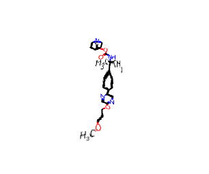 COCCCOc1cnc(-c2ccc(C(C)(C)NC(=O)OC3CN4CCC3CC4)cc2)cn1